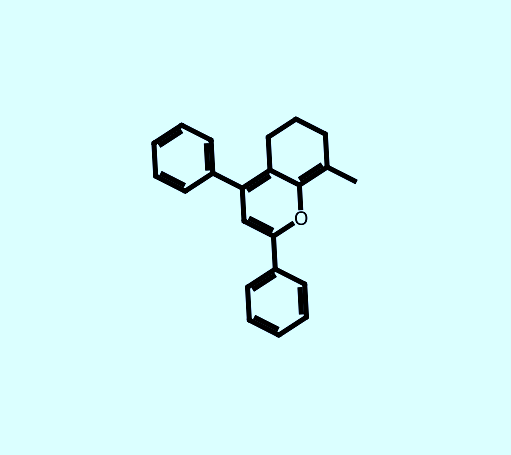 CC1=C2OC(c3ccccc3)=CC(c3ccccc3)=C2CCC1